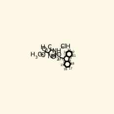 COC(=O)[C@H](N)[C@H](C)NC(=O)OCC1c2ccccc2-c2ccccc21.Cl